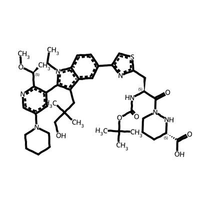 CCn1c(-c2cc(N3CCCCC3)cnc2[C@H](C)OC)c(CC(C)(C)CO)c2cc(-c3csc(C[C@H](NC(=O)OC(C)(C)C)C(=O)N4CCC[C@@H](C(=O)O)N4)n3)ccc21